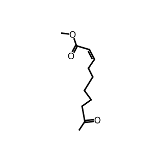 COC(=O)/C=C\CCCCCC(C)=O